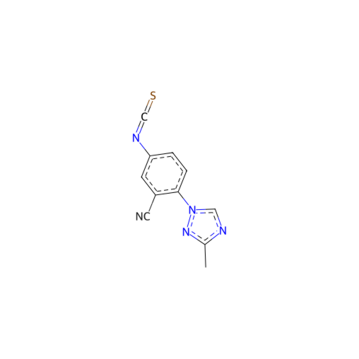 Cc1ncn(-c2ccc(N=C=S)cc2C#N)n1